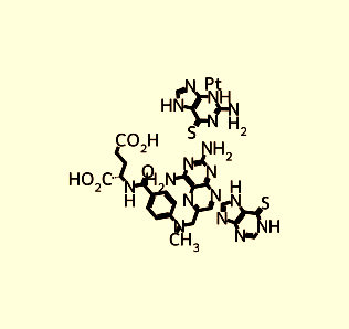 CN(Cc1cnc2nc(N)nc(N)c2n1)c1ccc(C(=O)N[C@@H](CCC(=O)O)C(=O)O)cc1.Nc1nc(=S)c2[nH]cnc2[nH]1.S=c1[nH]cnc2nc[nH]c12.[Pt]